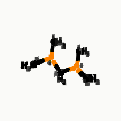 [SiH3]P([SiH3])[SiH2]P([SiH3])[SiH3]